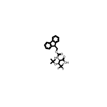 CC(C)(C)O[C@@H]([C@@H](NC(=O)OCC1c2ccccc2-c2ccccc21)C(=O)O)C(F)(F)F